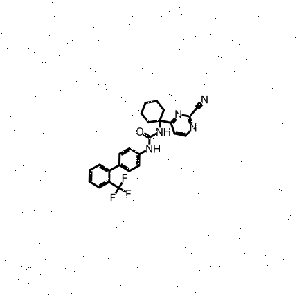 N#Cc1nccc(C2(NC(=O)Nc3ccc(-c4ccccc4C(F)(F)F)cc3)CCCCC2)n1